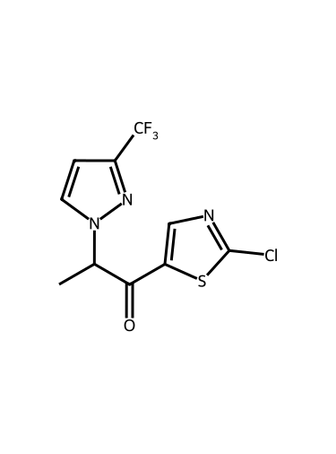 CC(C(=O)c1cnc(Cl)s1)n1ccc(C(F)(F)F)n1